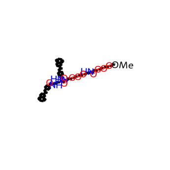 COCCOCCOCCOCCC(=O)NCCCOCCOCCOCCCNC(=O)[C@@H](CCCCNC(=O)c1ccc(/C=C(\C)c2ccc3c(c2)C(C)(C)CCC3(C)C)cc1)NC(=O)c1ccc(/C=C(\C)c2ccc3c(c2)C(C)(C)CCC3(C)C)cc1